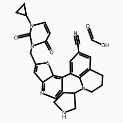 N#Cc1cc2c(c(-c3ccnc4cc(Cn5c(=O)ccn(C6CC6)c5=O)sc34)c1)N(C1CCNC1)CCC2.O=CO